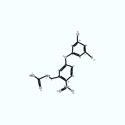 O=C(O)NCc1cc(Oc2cc(F)cc(Cl)c2)ccc1[N+](=O)[O-]